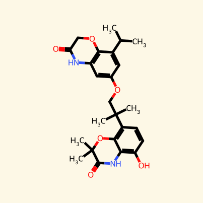 CC(C)c1cc(OCC(C)(C)c2ccc(O)c3c2OC(C)(C)C(=O)N3)cc2c1OCC(=O)N2